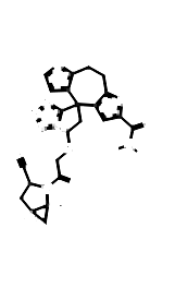 C[C@H](CC1(c2nn[nH]n2)c2ccsc2CCc2sc(C(=O)N(C)C)cc21)NCC(=O)N1C(C#N)C[C@@H]2C[C@@H]21